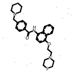 O=C(Nc1ccc(OCCN2CCSCC2)c2ccccc12)c1ccc(CN2CCCCC2)cc1